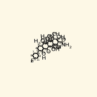 C[C@H]1c2ccc(-c3ccc(F)cc3)c(O)c2C(=O)C2=C(O)[C@]3(O)C(=O)C(C(N)=O)=C(O)C(N(C)C)[C@@H]3[C@@H](O)[C@@H]21